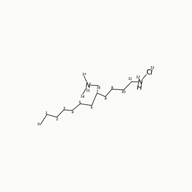 CCCCCCCCCCCCNCl.CN(C)C